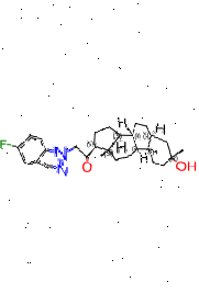 C[C@@]1(O)CC[C@@]2(C)[C@@H](CC[C@@H]3[C@@H]2CC[C@]2(C)[C@@H](C(=O)Cn4ncc5cc(F)ccc54)CC[C@@H]32)C1